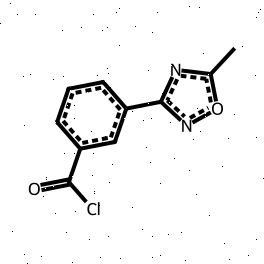 Cc1nc(-c2cccc(C(=O)Cl)c2)no1